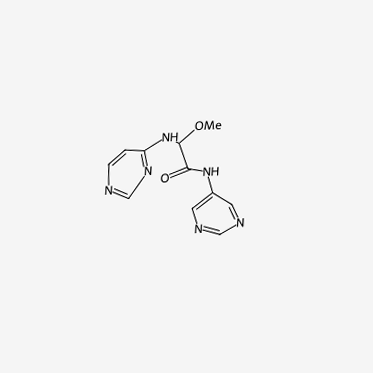 COC(Nc1ccncn1)C(=O)Nc1cncnc1